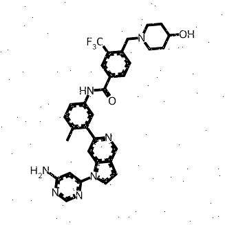 Cc1ccc(NC(=O)c2ccc(CN3CCC(O)CC3)c(C(F)(F)F)c2)cc1-c1cc2c(ccn2-c2cc(N)ncn2)cn1